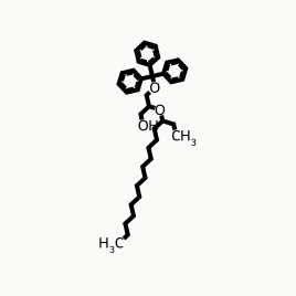 CCCCCCCCCCCCCC(CC)OC(CO)COC(c1ccccc1)(c1ccccc1)c1ccccc1